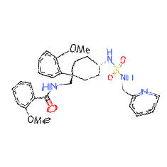 COc1ccccc1C(=O)NC[C@]1(c2ccccc2OC)CC[C@@H](NS(=O)(=O)NCc2ccccn2)CC1